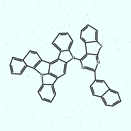 c1ccc2cc(-c3nc(-n4c5ccccc5c5c6c7ccc8ccccc8c7n7c8ccccc8c(cc54)c67)c4c(n3)sc3ccccc34)ccc2c1